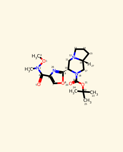 CON(C)C(=O)c1coc([C@@H]2CN3CCC[C@@H]3CN2C(=O)OC(C)(C)C)n1